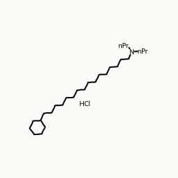 CCCN(CCC)CCCCCCCCCCCCCCCCC1CCCCC1.Cl